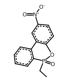 CCP1(=O)Oc2ccc([N+](=O)[O-])cc2-c2ccccc21